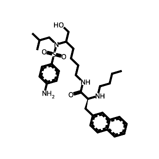 CCCCN[C@@H](Cc1ccc2ccccc2c1)C(=O)NCCCCC(CO)N(CC(C)C)S(=O)(=O)c1ccc(N)cc1